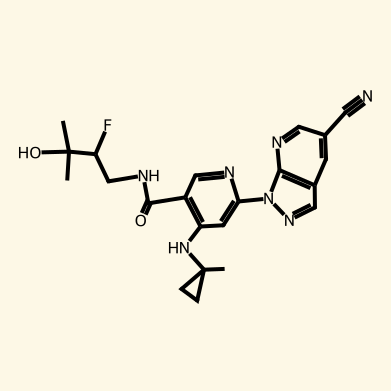 CC1(Nc2cc(-n3ncc4cc(C#N)cnc43)ncc2C(=O)NCC(F)C(C)(C)O)CC1